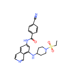 CCS(=O)(=O)N1CCC(Nc2cc(NC(=O)c3ccc(C#N)cc3)cc3ccncc23)CC1